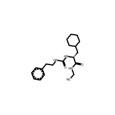 N#CCNC(=O)[C@H](CC1CCCCC1)NC(=O)NCCc1ccccc1